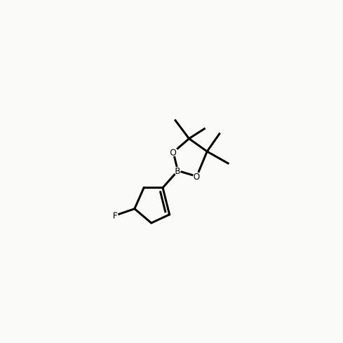 CC1(C)OB(C2=CCC(F)C2)OC1(C)C